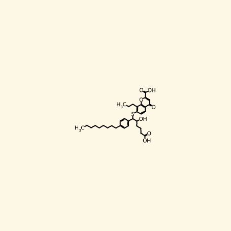 CCCCCCCCCc1ccc(C(Sc2ccc3c(=O)cc(C(=O)O)oc3c2CCC)C(O)CCCC(=O)O)cc1